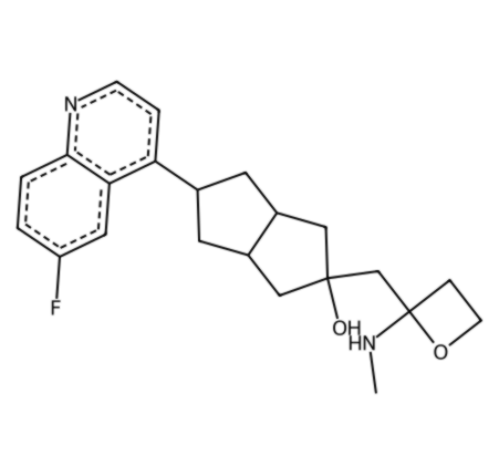 CNC1(CC2(O)CC3CC(c4ccnc5ccc(F)cc45)CC3C2)CCO1